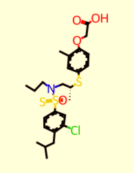 CCCN(C[C@@H](C)Sc1ccc(OCC(=O)O)c(C)c1)S(=O)(=S)c1ccc(CC(C)C)c(Cl)c1